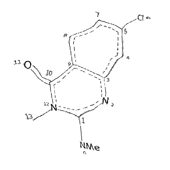 CNc1nc2cc(Cl)ccc2c(=O)n1C